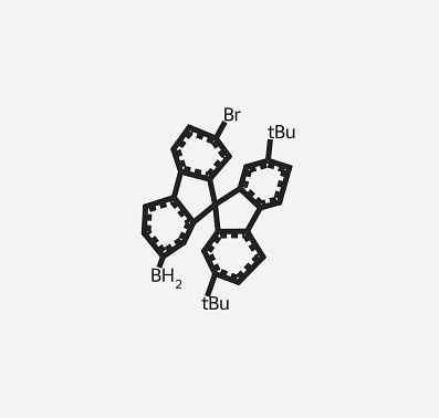 Bc1ccc2c(c1)C1(c3cc(Br)ccc3-2)c2cc(C(C)(C)C)ccc2-c2ccc(C(C)(C)C)cc21